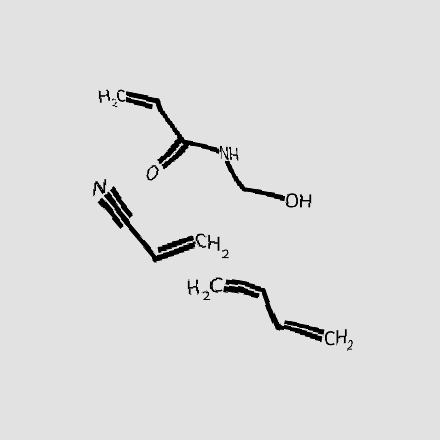 C=CC#N.C=CC(=O)NCO.C=CC=C